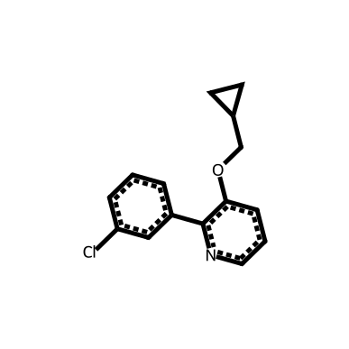 Clc1cccc(-c2ncccc2OCC2CC2)c1